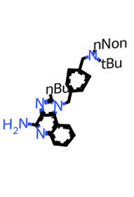 CCCCCCCCCN(Cc1ccc(Cn2c(CCCC)nc3c(N)nc4ccccc4c32)cc1)C(C)(C)C